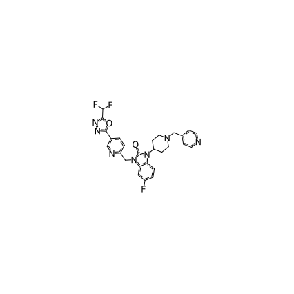 O=c1n(Cc2ccc(-c3nnc(C(F)F)o3)cn2)c2cc(F)ccc2n1C1CCN(Cc2ccncc2)CC1